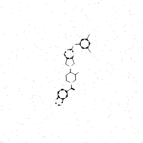 Cc1cc(C)cc(Nc2ncc3c(n2)CN(C2CCN(C(=O)c4ccc5[nH]nnc5c4)CC2F)C3)c1